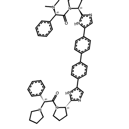 CN(C)[C@@H](C(=O)N1CCC[C@H]1c1ncc(-c2ccc(-c3ccc(-c4cnc([C@@H]5CCCN5C(=O)[C@@H](c5ccccc5)N5CCCC5)[nH]4)cc3)cc2)[nH]1)c1ccccc1